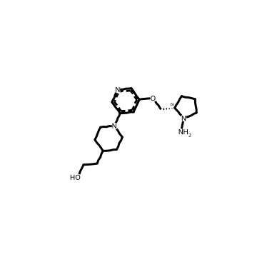 NN1CCC[C@H]1COc1cncc(N2CCC(CCO)CC2)c1